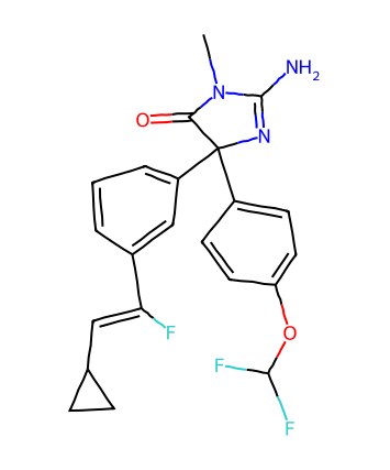 CN1C(=O)C(c2ccc(OC(F)F)cc2)(c2cccc(C(F)=CC3CC3)c2)N=C1N